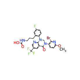 COc1ccc(N2CN(c3ccc(F)cc3CCCNC(=O)O)c3ncc(C(F)(F)F)cc3C2=O)c(Br)n1